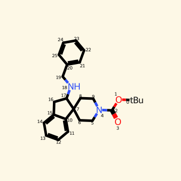 CC(C)(C)OC(=O)N1CCC2(CC1)c1ccccc1CC2NCc1ccccc1